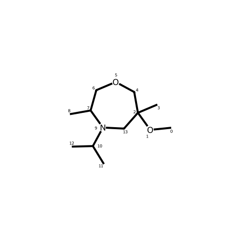 COC1(C)COCC(C)N(C(C)C)C1